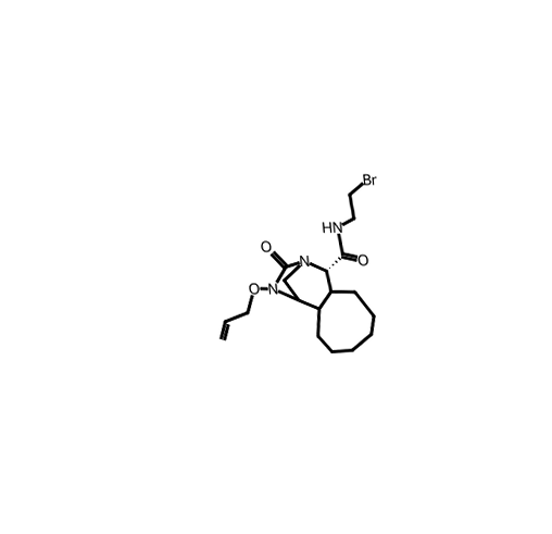 C=CCON1C(=O)N2CC1C1CCCCCCC1[C@H]2C(=O)NCCBr